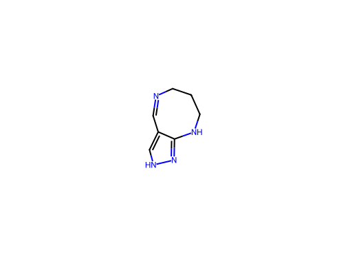 C1=NCCCNc2n[nH]cc21